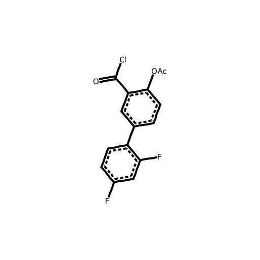 CC(=O)Oc1ccc(-c2ccc(F)cc2F)cc1C(=O)Cl